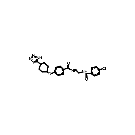 O=C(NCCNC(=O)c1ccc(OC2CCC(c3nnn[nH]3)CC2)cc1)c1ccc(Cl)cc1